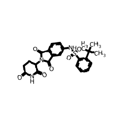 CC(C)(C)c1ccccc1S(=O)(=O)Nc1ccc2c(c1)C(=O)N(C1CCC(=O)NC1=O)C2=O